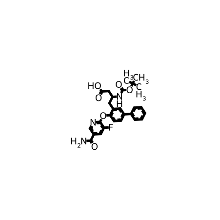 CC(C)(C)OC(=O)NC(CC(=O)O)Cc1cc(-c2ccccc2)ccc1Oc1ncc(C(N)=O)cc1F